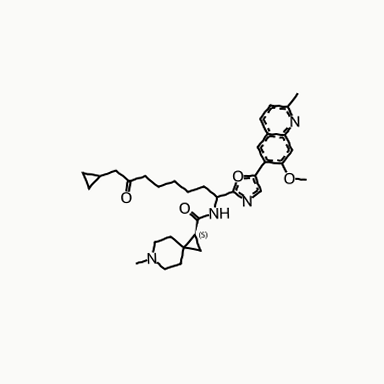 COc1cc2nc(C)ccc2cc1-c1cnc(C(CCCCCC(=O)CC2CC2)NC(=O)[C@H]2CC23CCN(C)CC3)o1